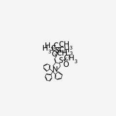 CC(=O)SC1CCN(C(c2ccccc2)(c2ccccc2)c2ccccc2)C/C1=C/CO[Si](C)(C)C(C)(C)C